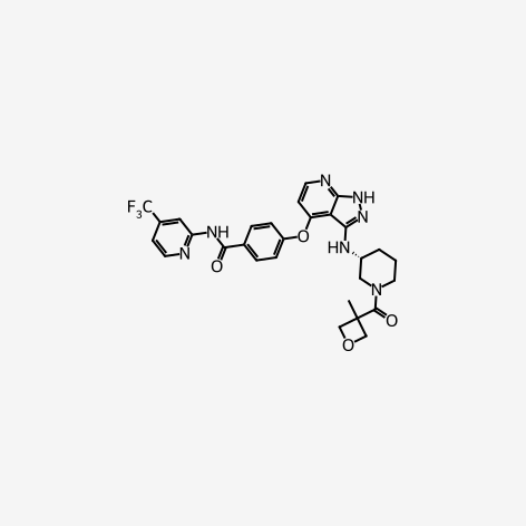 CC1(C(=O)N2CCC[C@@H](Nc3n[nH]c4nccc(Oc5ccc(C(=O)Nc6cc(C(F)(F)F)ccn6)cc5)c34)C2)COC1